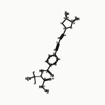 CC(C)(N)C(NC(=O)c1ccc(C#CC#CC2C[C@@H](O)[C@@H](O)C2)cc1)C(=O)NO